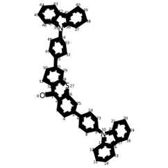 O=c1c2ccc(-c3ccc(-n4c5ccccc5c5ccccc54)cc3)cc2sc2cc(-c3ccc(-n4c5ccccc5c5ccccc54)cc3)ccc12